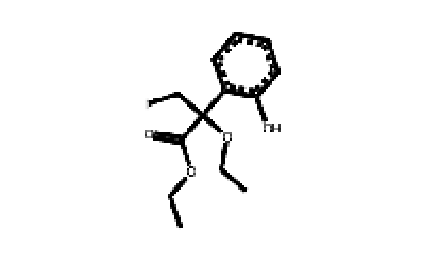 CCOC(=O)C(CI)(OCC)c1ccccc1O